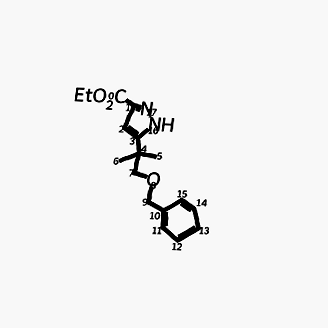 CCOC(=O)c1cc(C(C)(C)COCc2ccccc2)[nH]n1